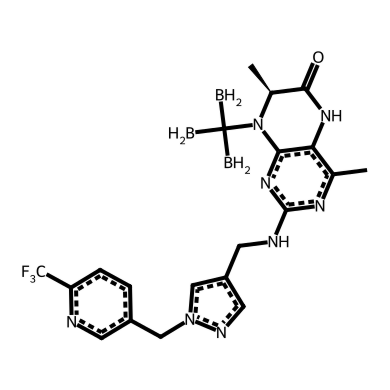 BC(B)(B)N1c2nc(NCc3cnn(Cc4ccc(C(F)(F)F)nc4)c3)nc(C)c2NC(=O)[C@@H]1C